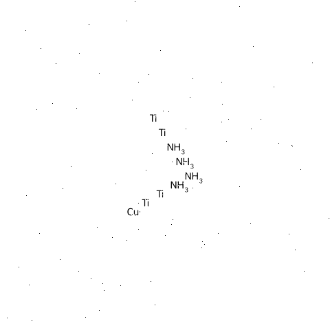 N.N.N.N.[Cu].[Ti].[Ti].[Ti].[Ti]